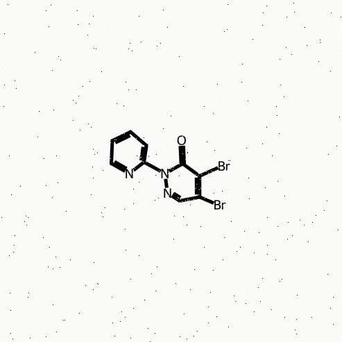 O=c1c(Br)c(Br)cnn1-c1ccccn1